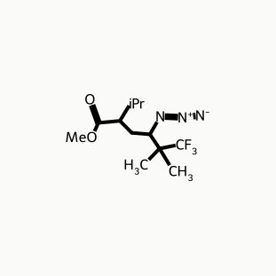 COC(=O)C(CC(N=[N+]=[N-])C(C)(C)C(F)(F)F)C(C)C